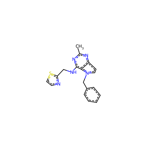 Cc1nc(NCc2nccs2)c2c(ccn2Cc2ccccc2)n1